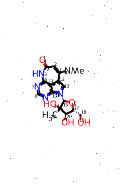 CNC1=CC(=O)Nc2ncnc3c2c1cn3[C@@H]1O[C@H](CO)[C@@H](O)C1(C)O